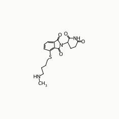 CNCCCCSc1cccc2c1C(=O)N(C1CCC(=O)NC1=O)C2=O